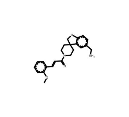 COc1ccccc1/C=C/C(=O)N1CCC2(CC1)COc1ccc(CN)cc12